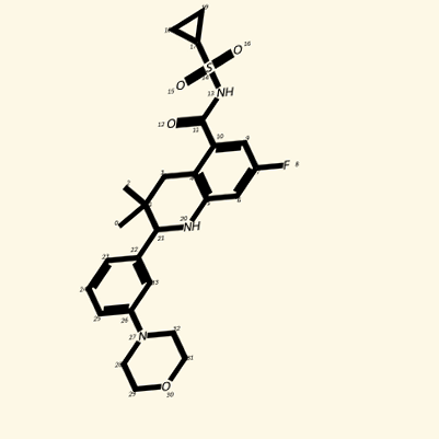 CC1(C)Cc2c(cc(F)cc2C(=O)NS(=O)(=O)C2CC2)NC1c1cccc(N2CCOCC2)c1